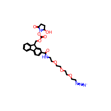 [N-]=[N+]=NCCOCCOCCOCCNC(=O)c1ccc2c(c1)C(COC(=O)ON1C(=O)CCC1O)c1ccccc1-2